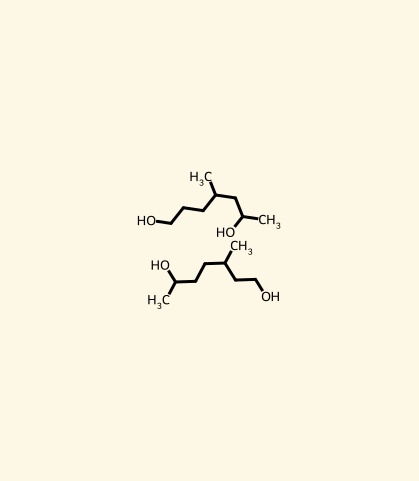 CC(O)CC(C)CCCO.CC(O)CCC(C)CCO